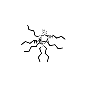 CCCC[SiH]1[SiH2][Si]2(CCCC)[SiH2][Si]1(CCCC)[Si](CCCC)(CCCC)[Si]2(CCCC)CCCC